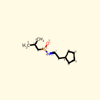 CC(C)C[S+]([O-])/N=C/CC1CCCC1